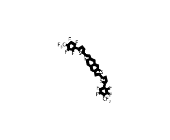 Fc1c(F)c(C(F)(F)F)c(F)c(F)c1-c1ccc(-c2cc3cc4cc5sc(-c6ccc(-c7c(F)c(F)c(C(F)(F)F)c(F)c7F)s6)cc5cc4cc3s2)s1